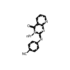 CCCn1c(=Nc2ccc(C#N)cc2)sc2ncccc2c1=O